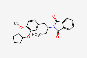 CCOc1ccc(CC(CC(=O)O)N2C(=O)c3ccccc3C2=O)cc1OC1CCCC1